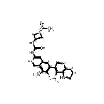 Cc1c(-c2cc3cc(NC(=O)OC4CN([S+](C)[O-])C4)ncc3c(N)c2F)cnc2c1NCCC2